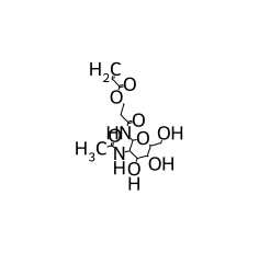 C=CC(=O)OCCC(=O)NC1OC(CO)[C@@H](O)C(O)C1NC(C)=O